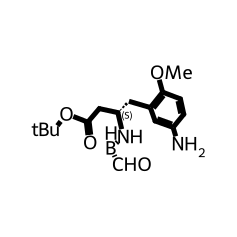 COc1ccc(N)cc1C[C@@H](CC(=O)OC(C)(C)C)NBC=O